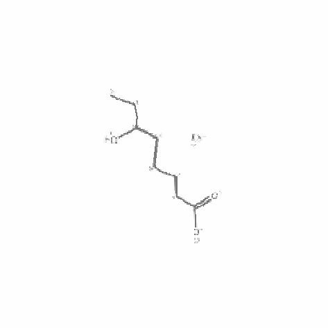 CCC(O)CCCCC(=O)[O-].[Cs+]